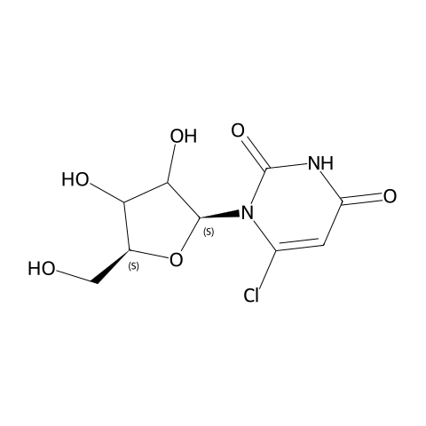 O=c1cc(Cl)n([C@H]2O[C@@H](CO)C(O)C2O)c(=O)[nH]1